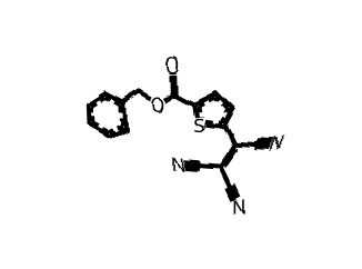 N#CC(C#N)=C(C#N)c1ccc(C(=O)OCc2ccccc2)s1